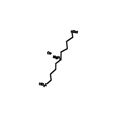 CCCCCCCCCCCCCCCCCC(=O)O.[Co].[MgH2]